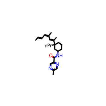 C/C=C/C=C(C)\C=C(/C)C1(CCC)CCCC(NC(=O)c2cnc(C)cn2)C1